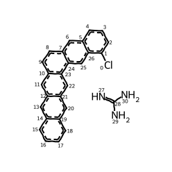 Clc1cccc2cc3ccc4cc5cc6ccccc6cc5cc4c3cc12.N=C(N)N